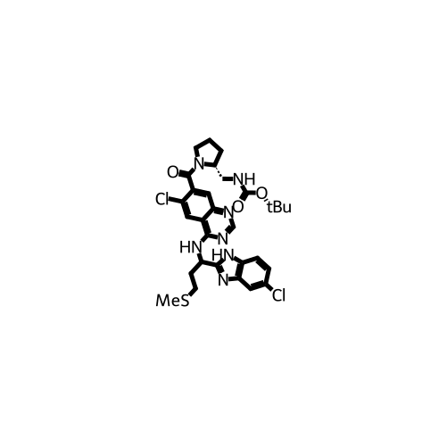 CSCCC(Nc1ncnc2cc(C(=O)N3CCC[C@@H]3CNC(=O)OC(C)(C)C)c(Cl)cc12)c1nc2cc(Cl)ccc2[nH]1